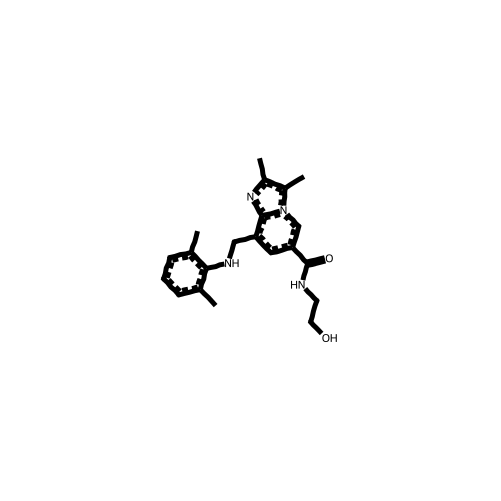 Cc1cccc(C)c1NCc1cc(C(=O)NCCO)cn2c(C)c(C)nc12